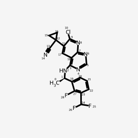 C[C@@H](Nc1ncnc2nc(Cl)c(C3(C#N)CC3)cc12)c1cccc(C(F)F)c1F